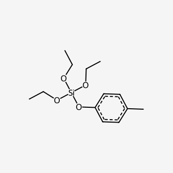 CCO[Si](OCC)(OCC)Oc1ccc(C)cc1